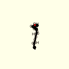 Cc1ccc(/C=C/C(=O)NCCOCCOCCNC(=O)COc2ccc3c(-c4ccccc4C(=O)O)c4ccc(=O)cc-4oc3c2)cc1